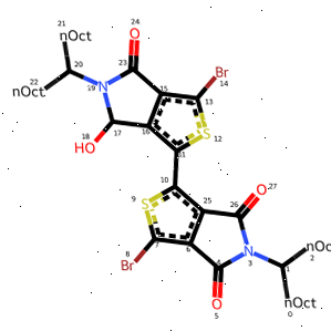 CCCCCCCCC(CCCCCCCC)N1C(=O)c2c(Br)sc(-c3sc(Br)c4c3C(O)N(C(CCCCCCCC)CCCCCCCC)C4=O)c2C1=O